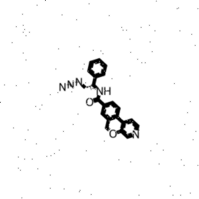 [N-]=[N+]=NC[C@@H](NC(=O)c1ccc2c(c1)COc1cnccc1-2)c1ccccc1